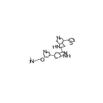 CN(C)CCOc1cncc(-c2ccc3[nH]nc(-c4cc5c(-c6cccs6)cncc5[nH]4)c3c2)c1